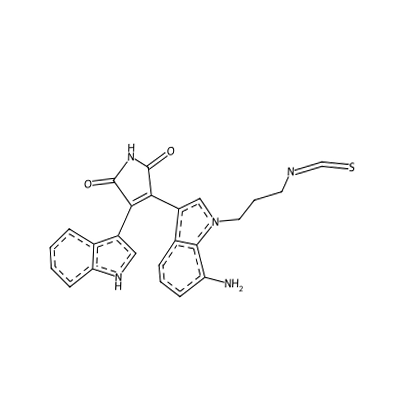 Nc1cccc2c(C3=C(c4c[nH]c5ccccc45)C(=O)NC3=O)cn(CCCN=C=S)c12